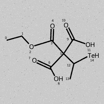 CCOC(=O)C(C(=O)O)(C(=O)O)C(C)[TeH]